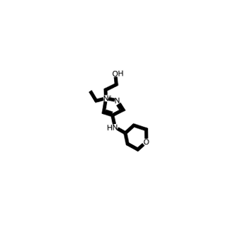 CC[N+]1(CCO)C=C(NC2CCOCC2)C=N1